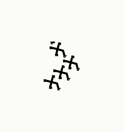 CCC(CC)(CC)C[O-].CCC(CC)(CC)C[O-].CCC(CC)(CC)C[O-].CCC(CC)(CC)C[O-].[Ti+4]